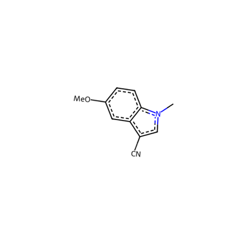 COc1ccc2c(c1)c(C#N)cn2C